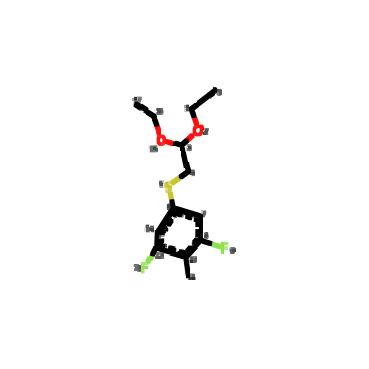 CCOC(CSc1cc(F)c(C)c(F)c1)OCC